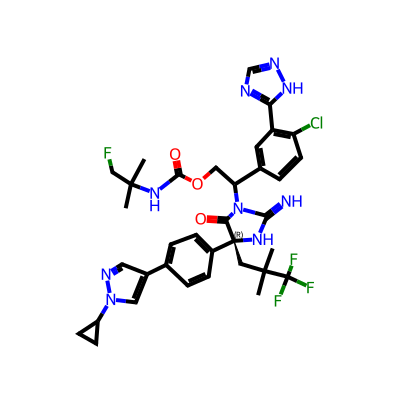 CC(C)(CF)NC(=O)OCC(c1ccc(Cl)c(-c2ncn[nH]2)c1)N1C(=N)N[C@](CC(C)(C)C(F)(F)F)(c2ccc(-c3cnn(C4CC4)c3)cc2)C1=O